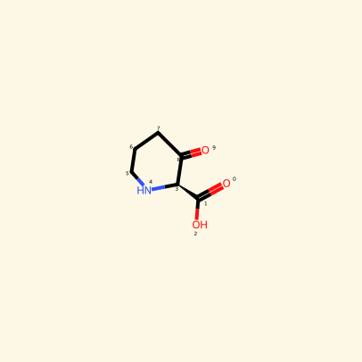 O=C(O)[C@H]1NCCCC1=O